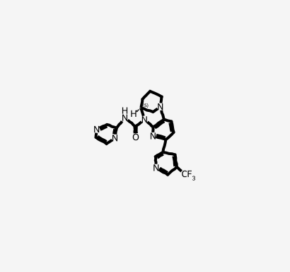 O=C(Nc1cnccn1)N1c2nc(-c3cncc(C(F)(F)F)c3)ccc2N2CCC[C@H]1C2